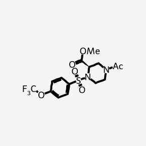 COC(=O)[C@H]1CN(C(C)=O)CCN1S(=O)(=O)c1ccc(OC(F)(F)F)cc1